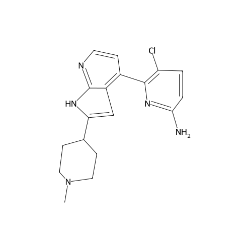 CN1CCC(c2cc3c(-c4nc(N)ccc4Cl)ccnc3[nH]2)CC1